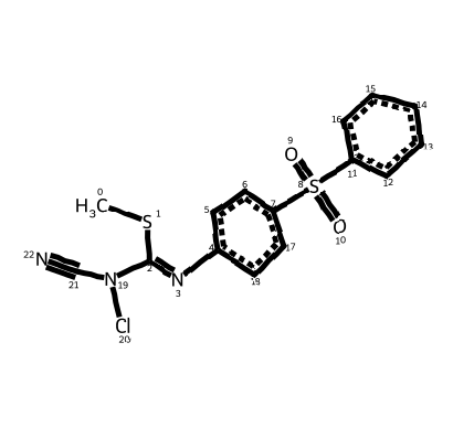 CSC(=Nc1ccc(S(=O)(=O)c2ccccc2)cc1)N(Cl)C#N